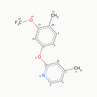 Cc1ccnc(Oc2ccc(C)c(OC(F)(F)F)c2)c1